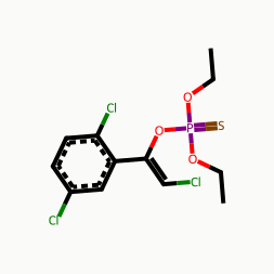 CCOP(=S)(OCC)OC(=CCl)c1cc(Cl)ccc1Cl